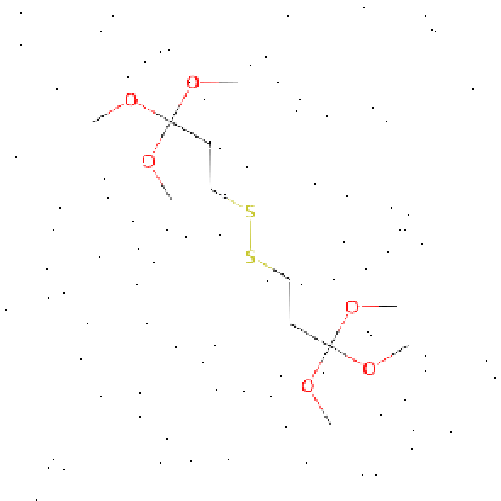 COC(CCSSCCC(OC)(OC)OC)(OC)OC